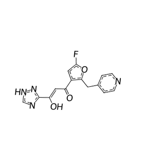 O=C(C=C(O)c1nc[nH]n1)c1cc(F)oc1Cc1ccncc1